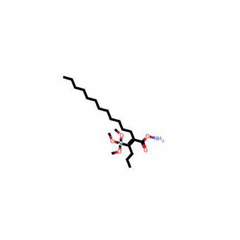 CCCCCCCCCCCCC(C(=O)ON)=C(CCC)[Si](OC)(OC)OC